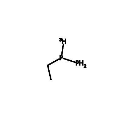 [3H]P(P)CC